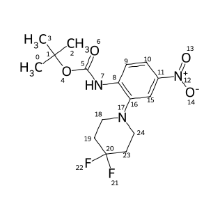 CC(C)(C)OC(=O)Nc1ccc([N+](=O)[O-])cc1N1CCC(F)(F)CC1